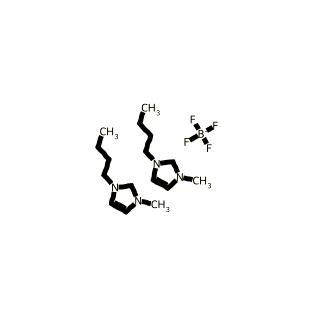 CCCCN1C=CN(C)C1.CCCCN1C=CN(C)C1.F[B-](F)(F)F